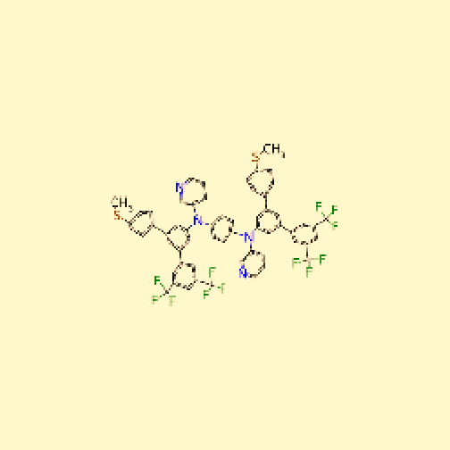 CSc1ccc(-c2cc(-c3cc(C(F)(F)F)cc(C(F)(F)F)c3)cc(N(c3ccc(N(c4cccnc4)c4cc(-c5ccc(SC)cc5)cc(-c5cc(C(F)(F)F)cc(C(F)(F)F)c5)c4)cc3)c3cccnc3)c2)cc1